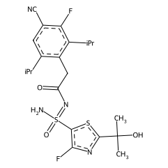 CC(C)c1cc(C#N)c(F)c(C(C)C)c1CC(=O)N=S(N)(=O)c1sc(C(C)(C)O)nc1F